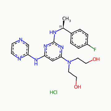 C[C@H](Nc1nc(Nc2cnccn2)cc(N(CCO)CCO)n1)c1ccc(F)cc1.Cl